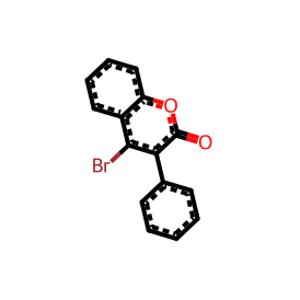 O=c1oc2ccccc2c(Br)c1-c1ccccc1